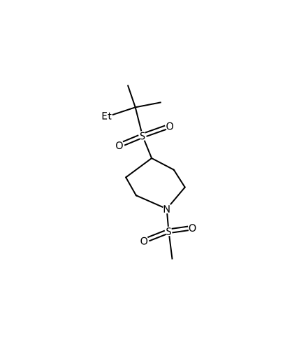 CCC(C)(C)S(=O)(=O)C1CCN(S(C)(=O)=O)CC1